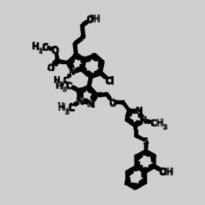 COC(=O)c1c(CCCO)c2ccc(Cl)c(-c3c(COCc4cc(CSc5cc(O)c6ccccc6c5)n(C)n4)nn(C)c3C)c2n1C